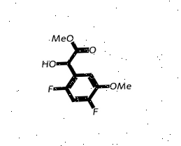 COC(=O)C(O)c1cc(OC)c(F)cc1F